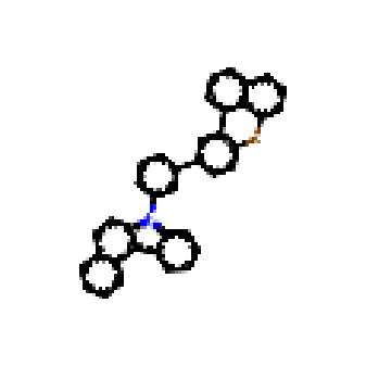 c1cc(-c2ccc3c(c2)-c2cccc4cccc(c24)S3)cc(-n2c3ccccc3c3c4ccccc4ccc32)c1